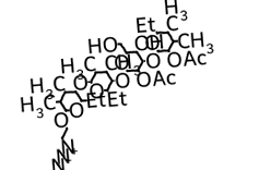 CCC1O[C@@H](OCCN=[N+]=[N-])C(C)[C@@H](C)[C@@H]1O[C@@H]1OC(CC)[C@@H](O[C@@H]2OC(CO)[C@@H](O)[C@H](O[C@H]3O[C@@H](CC)[C@@H](C)C(C)C3OC(C)=O)C2OC(C)=O)[C@@H](C)C1C